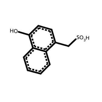 O=S(=O)(O)Cc1ccc(O)c2ccccc12